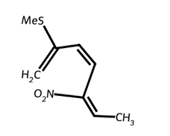 C=C(/C=C\C(=C/C)[N+](=O)[O-])SC